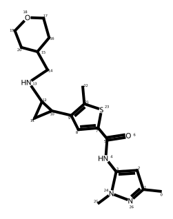 Cc1cc(NC(=O)c2cc(C3CC3NCC3CCOCC3)c(C)s2)n(C)n1